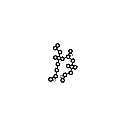 c1cc(-c2ccc3oc4ccccc4c3c2)cc(-c2c3ccccc3c(-c3cccc(-c4cc(-c5ccc6c(-c7ccc(-c8ccc(-c9ccc%10oc%11ccccc%11c%10c9)cc8)cc7)c7ccccc7c(-c7cccc(-c8cccc9ccccc89)c7)c6c5)cc5c4oc4ccccc45)c3)c3ccccc23)c1